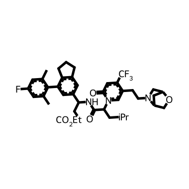 CCOC(=O)CC(NC(=O)C(CC(C)C)n1cc(CCN2CC3CC2CO3)c(C(F)(F)F)cc1=O)c1cc2c(c(-c3c(C)cc(F)cc3C)c1)CCC2